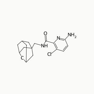 Nc1ccc(Cl)c(C(=O)NCC23CC4CC(CC(C4)C2)C3)n1